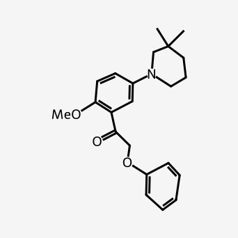 COc1ccc(N2CCCC(C)(C)C2)cc1C(=O)COc1ccccc1